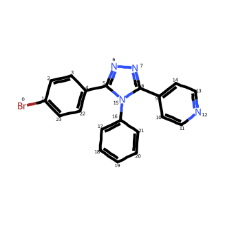 Brc1ccc(-c2nnc(-c3ccncc3)n2-c2ccccc2)cc1